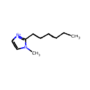 CCCCCCC1=[N+]C=CN1C